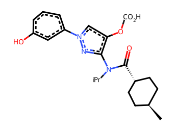 CC(C)N(c1nn(-c2cccc(O)c2)cc1OC(=O)O)C(=O)[C@H]1CC[C@H](C)CC1